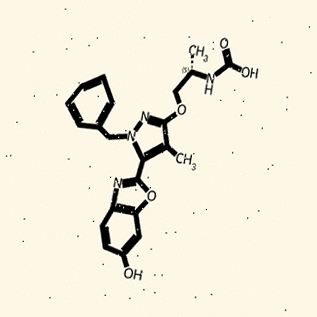 Cc1c(OC[C@H](C)NC(=O)O)nn(Cc2ccccc2)c1-c1nc2ccc(O)cc2o1